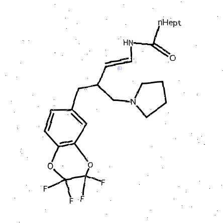 CCCCCCCC(=O)N/C=C/C(Cc1ccc2c(c1)OC(F)(F)C(F)(F)O2)CN1CCCC1